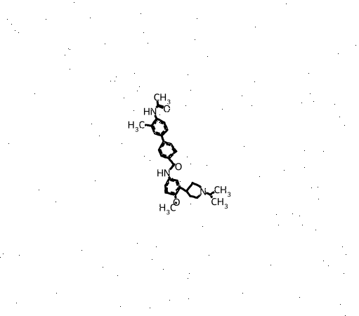 COc1ccc(NC(=O)c2ccc(-c3ccc(NC(C)=O)c(C)c3)cc2)cc1C1CCN(C(C)C)CC1